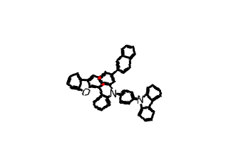 c1cc(-c2ccc3ccccc3c2)cc(N(c2ccc(-n3c4ccccc4c4ccccc43)cc2)c2ccccc2-c2cccc3c2oc2ccccc23)c1